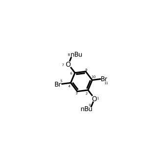 CCCCOc1cc(Br)c(OCCCC)cc1Br